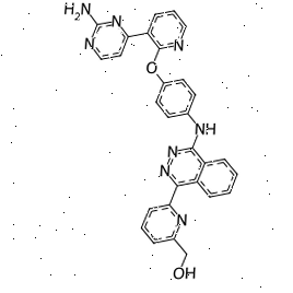 Nc1nccc(-c2cccnc2Oc2ccc(Nc3nnc(-c4cccc(CO)n4)c4ccccc34)cc2)n1